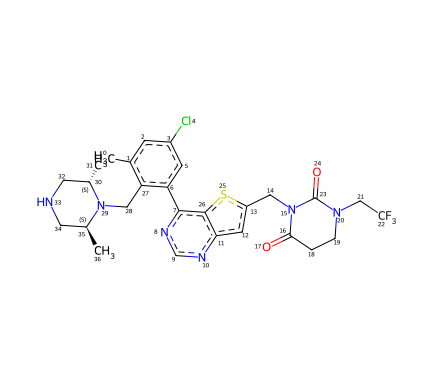 Cc1cc(Cl)cc(-c2ncnc3cc(CN4C(=O)CCN(CC(F)(F)F)C4=O)sc23)c1CN1[C@@H](C)CNC[C@@H]1C